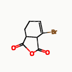 O=C1OC(=O)C2C(Br)=CCCC12